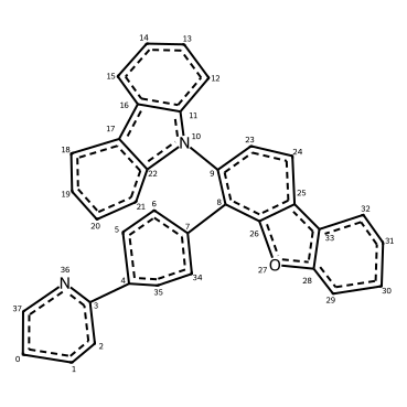 c1ccc(-c2ccc(-c3c(-n4c5ccccc5c5ccccc54)ccc4c3oc3ccccc34)cc2)nc1